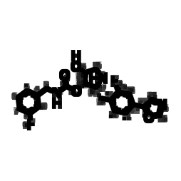 O=C(NCc1cccc(F)c1)O[C@@H]1[C@@H](O)CN[C@@H]1Cc1ccc(-c2cnco2)cc1F